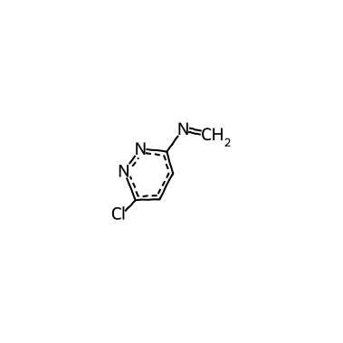 C=Nc1ccc(Cl)nn1